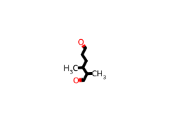 CC(C=O)C(C)CCC=O